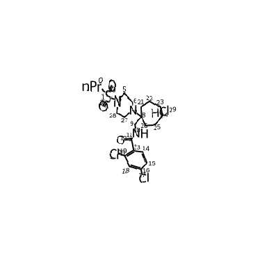 CCCS(=O)(=O)N1CCN(C2(CNC(=O)c3ccc(Cl)cc3Cl)CCCCCC2)CC1.Cl